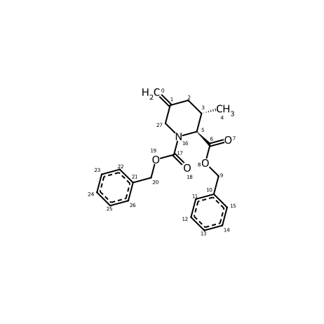 C=C1C[C@H](C)[C@@H](C(=O)OCc2ccccc2)N(C(=O)OCc2ccccc2)C1